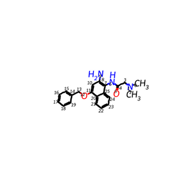 CN(C)CC(=O)Nc1c(N)cc(OCc2ccccc2)c2ccccc12